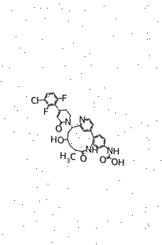 C[C@@H]1CC(O)C[C@H](N2CCC(c3c(F)ccc(Cl)c3F)=CC2=O)c2cc(ccn2)-c2ccc(NC(=O)O)cc2NC1=O